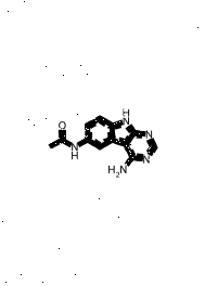 CC(=O)Nc1ccc2[nH]c3ncnc(N)c3c2c1